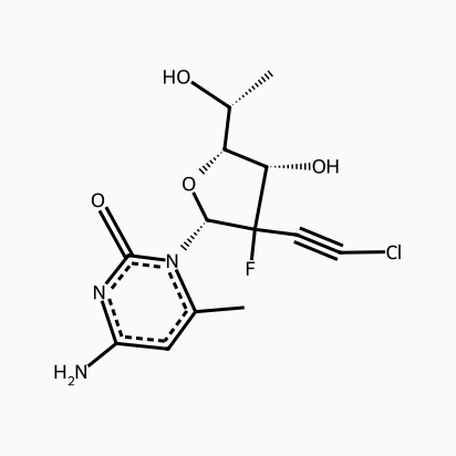 Cc1cc(N)nc(=O)n1[C@@H]1O[C@H]([C@@H](C)O)[C@H](O)C1(F)C#CCl